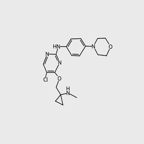 CNC1(COc2nc(Nc3ccc(N4CCOCC4)cc3)ncc2Cl)CC1